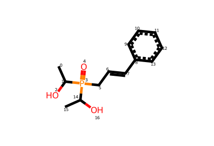 CC(O)P(=O)(C/C=C/c1ccccc1)C(C)O